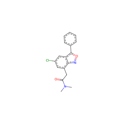 CN(C)C(=O)Cc1cc(Cl)cc2c(-c3ccccc3)onc12